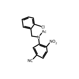 CC(=O)N(Cc1ccccc1Cl)c1cc(C#N)ccc1[N+](=O)[O-]